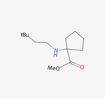 COC(=O)C1(NCCC(C)(C)C)CCCC1